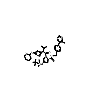 Cc1ncsc1-c1ccc(CNC(=O)[C@@H]2C[C@@H](O[Si](C)(C)C(C)(C)C)CN2C(=O)C(c2cc(OC3CCCCO3)no2)C(C)C)cc1